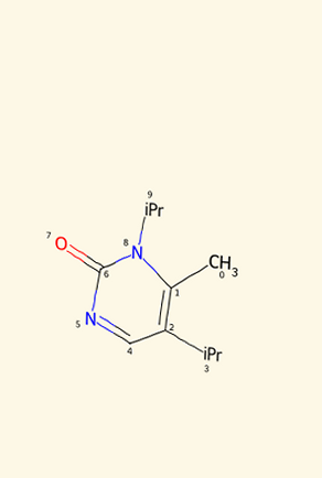 Cc1c(C(C)C)cnc(=O)n1C(C)C